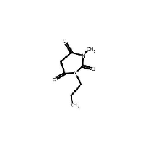 CCCN1C(=O)CC(=O)N(C)C1=O